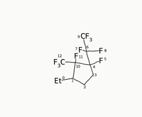 [CH2]CC1C[CH]C(F)(C(F)(F)C(F)(F)F)C1(F)C(F)(F)F